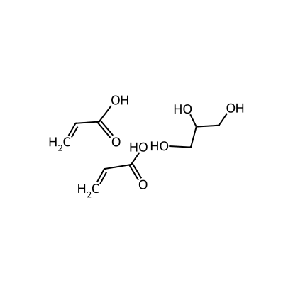 C=CC(=O)O.C=CC(=O)O.OCC(O)CO